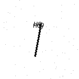 CCCCCCCCCCCCCCCCCCCCCCC=COP(=O)(O)O